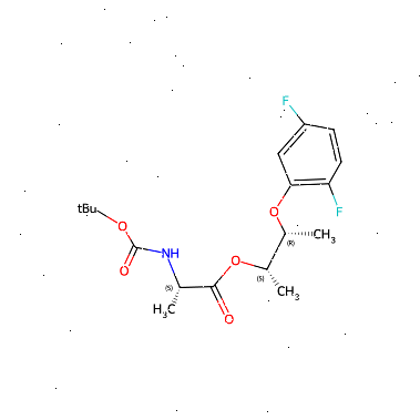 C[C@H](NC(=O)OC(C)(C)C)C(=O)O[C@@H](C)[C@@H](C)Oc1cc(F)ccc1F